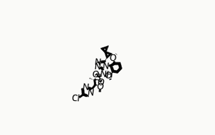 COc1cccc(OC)c1-n1c(NS(=O)(=O)[C@@H](C)[C@H](OC)c2ncc(Cl)cn2)nnc1[C@H]1CC12CC2